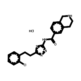 Cl.O=C(Nc1nnc(CCc2ccccc2Cl)s1)c1ccc2c(c1)CCNC2